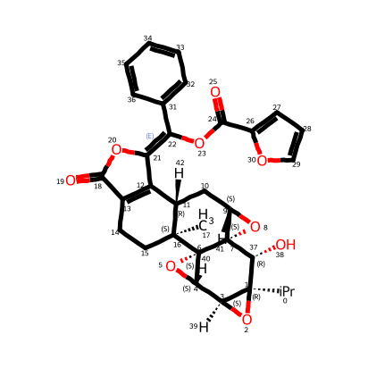 CC(C)[C@]12O[C@H]1[C@@H]1O[C@]13[C@]1(O[C@H]1C[C@H]1C4=C(CC[C@@]13C)C(=O)O/C4=C(/OC(=O)c1ccco1)c1ccccc1)[C@@H]2O